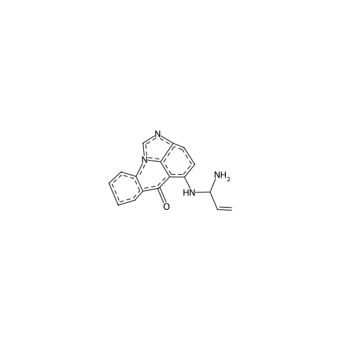 C=CC(N)Nc1ccc2ncn3c4ccccc4c(=O)c1c23